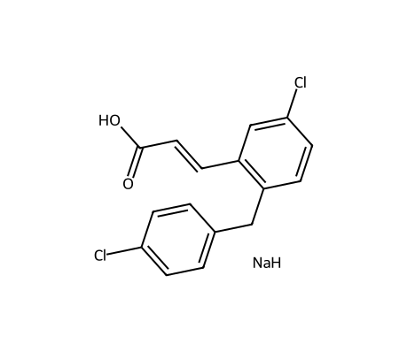 O=C(O)C=Cc1cc(Cl)ccc1Cc1ccc(Cl)cc1.[NaH]